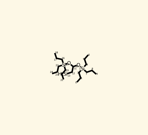 CCC[Si](CCC)(CCC)OC(C[SiH3])O[Si](CCC)(CCC)CCC